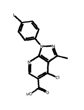 Cc1nn(-c2ccc(I)cc2)c2ncc(C(=O)O)c(Cl)c12